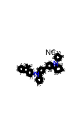 CC1(C)c2ccccc2-c2ccc(-n3c4ccccc4c4cc(-c5ccc6c(c5)c5ccccc5n6-c5cccc(C#N)c5)ccc43)cc21